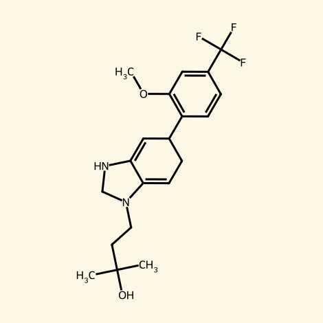 COc1cc(C(F)(F)F)ccc1C1C=C2NCN(CCC(C)(C)O)C2=CC1